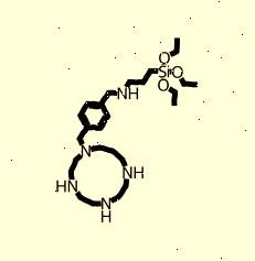 CCO[Si](CCCNCc1ccc(CN2CCCNCCNCCNCC2)cc1)(OCC)OCC